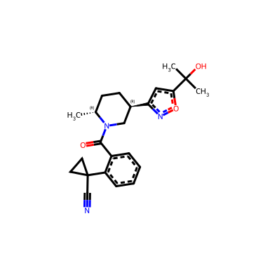 C[C@@H]1CC[C@@H](c2cc(C(C)(C)O)on2)CN1C(=O)c1ccccc1C1(C#N)CC1